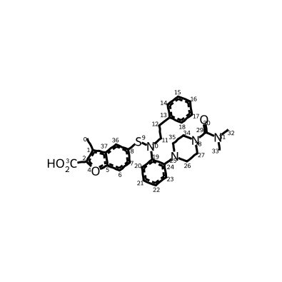 Cc1c(C(=O)O)oc2ccc(SN(CCc3ccccc3)c3ccccc3N3CCN(C(=O)N(C)C)CC3)cc12